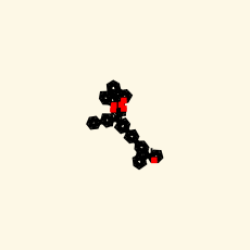 c1ccc(-c2ccc(N(c3ccc(-c4ccc(-c5ccc6c(c5)c5ccccc5n6-c5ccccc5)cc4)cc3)c3ccc(-c4cccc5c4C4(c6ccccc6-c6ccccc64)c4ccccc4-5)cc3)cc2)cc1